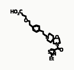 CCc1nc(C(=O)N2CCOC3(CCN(CCc4ccc(CCOCCC(=O)O)cc4)CC3)C2)cs1